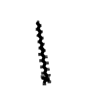 CCCCCCCCC=CCCCCCCCC[N+](C)(C)C